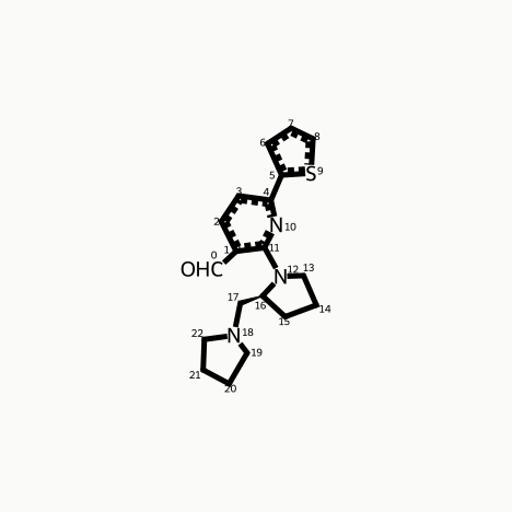 O=Cc1ccc(-c2cccs2)nc1N1CCC[C@H]1CN1CCCC1